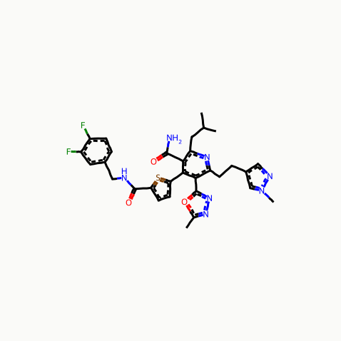 Cc1nnc(-c2c(CCc3cnn(C)c3)nc(CC(C)C)c(C(N)=O)c2-c2ccc(C(=O)NCc3ccc(F)c(F)c3)s2)o1